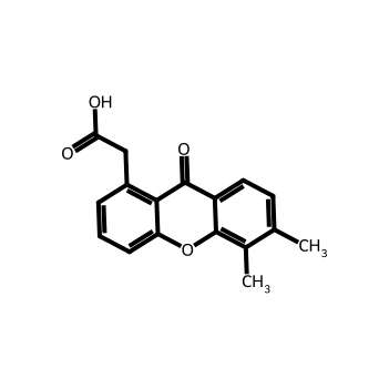 Cc1ccc2c(=O)c3c(CC(=O)O)cccc3oc2c1C